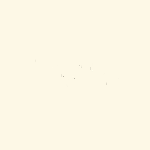 CN1CCC(CN(Cc2ccc(F)cc2F)C(=O)NCc2ccc(OC(F)C(F)F)c(F)c2)C1